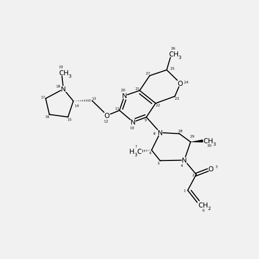 C=CC(=O)N1C[C@H](C)N(c2nc(OC[C@@H]3CCCN3C)nc3c2COC(C)C3)C[C@H]1C